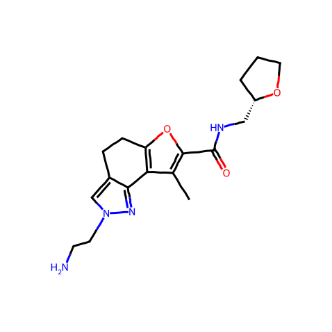 Cc1c(C(=O)NC[C@@H]2CCCO2)oc2c1-c1nn(CCN)cc1CC2